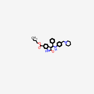 CCCCOC(=O)c1ccc2c(c1)NC(=O)/C2=C(\Nc1ccc(CN2CCCCC2)cc1)c1ccccc1